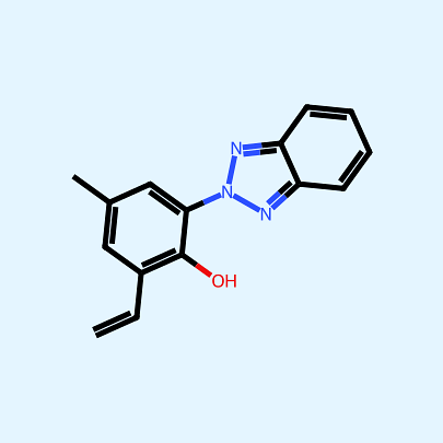 C=Cc1cc(C)cc(-n2nc3ccccc3n2)c1O